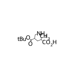 CC(CC(CN)C(=O)OC(C)(C)C)C(=O)O